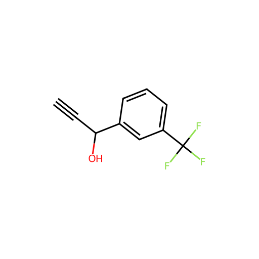 C#CC(O)c1cccc(C(F)(F)F)c1